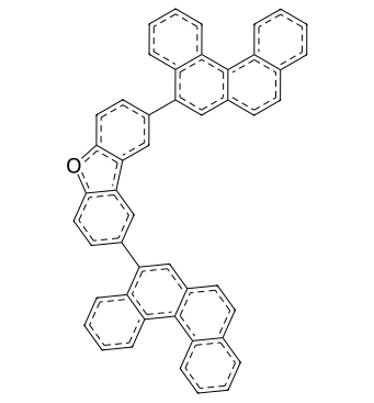 c1ccc2c(c1)ccc1cc(-c3ccc4oc5ccc(-c6cc7ccc8ccccc8c7c7ccccc67)cc5c4c3)c3ccccc3c12